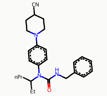 CCCC(CC)N(C(=O)NCc1ccccc1)c1ccc(N2CCC(C#N)CC2)cc1